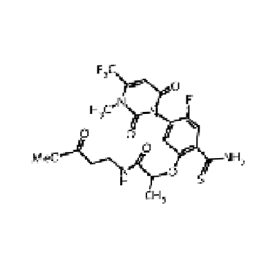 COC(=O)CCNC(=O)C(C)Oc1cc(-n2c(=O)cc(C(F)(F)F)n(C)c2=O)c(F)cc1C(N)=S